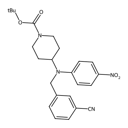 CC(C)(C)OC(=O)N1CCC(N(Cc2cccc(C#N)c2)c2ccc([N+](=O)[O-])cc2)CC1